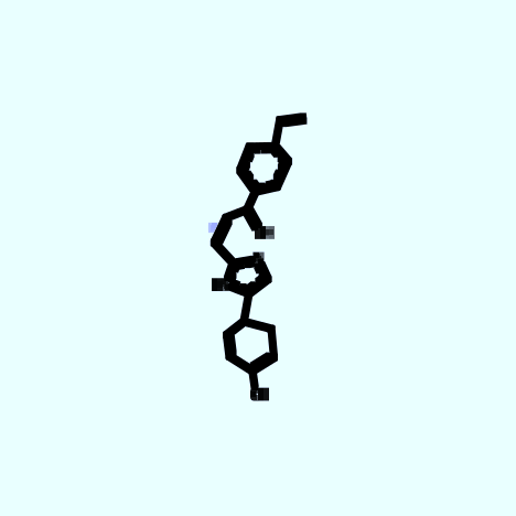 C=Cc1ccc(C(=N)/C=C\c2ncc(C3C=CC(C#N)=CC3)[nH]2)cc1